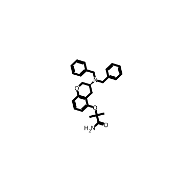 CC(C)(Oc1cccc2c1C[C@H](N(Cc1ccccc1)Cc1ccccc1)CO2)C(N)=O